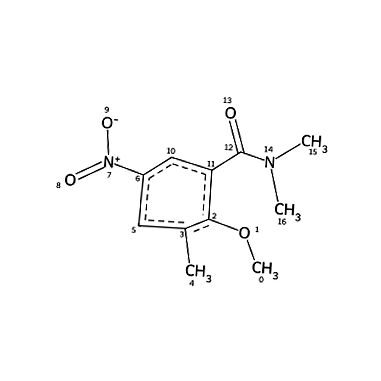 COc1c(C)cc([N+](=O)[O-])cc1C(=O)N(C)C